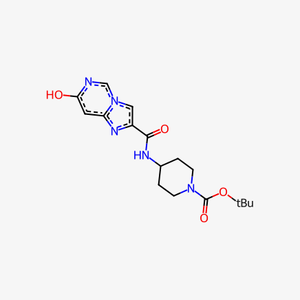 CC(C)(C)OC(=O)N1CCC(NC(=O)c2cn3cnc(O)cc3n2)CC1